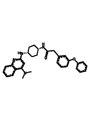 CN(C)c1cc(N[C@H]2CC[C@@H](NC(=O)Cc3cccc(Oc4ccccc4)c3)CC2)nc2ccccc12